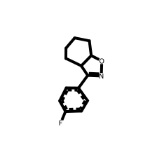 Fc1ccc(C2=NOC3CCCCC23)cc1